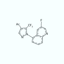 CC(=O)c1cnn(-c2cccc3ncc(F)cc23)c1C(F)(F)F